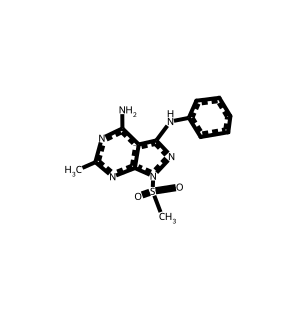 Cc1nc(N)c2c(Nc3ccccc3)nn(S(C)(=O)=O)c2n1